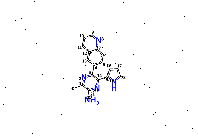 Cc1nc(-c2ccc3ncccc3c2)c(-c2ccc[nH]2)nc1N